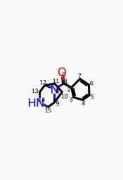 O=C(c1ccccc1)N1C2CCC1CNC2